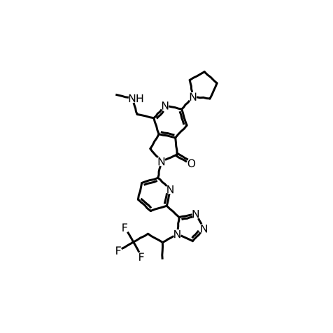 CNCc1nc(N2CCCC2)cc2c1CN(c1cccc(-c3nncn3C(C)CC(F)(F)F)n1)C2=O